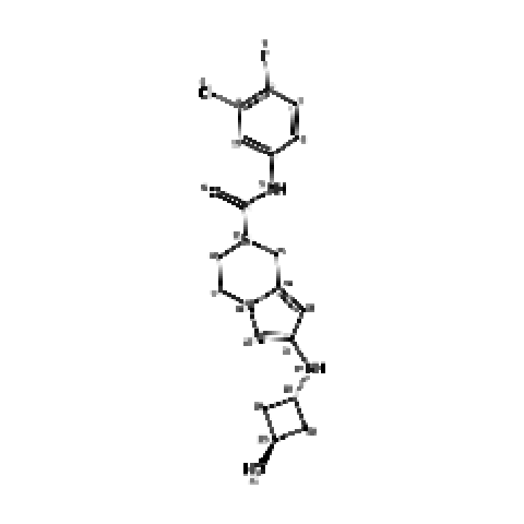 O=C(Nc1ccc(F)c(Cl)c1)N1CCn2nc(N[C@H]3C[C@H](O)C3)cc2C1